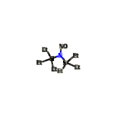 CC[Si](CC)(CC)N(N=O)[Si](CC)(CC)CC